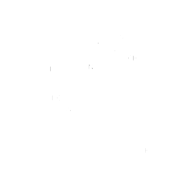 CC(C)c1nc(C(C)(C)C)cc(-c2ccc(F)cc2)c1C=O